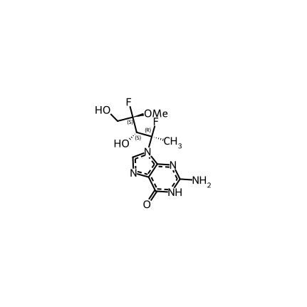 CO[C@](F)(CO)[C@@H](O)[C@@](C)(F)n1cnc2c(=O)[nH]c(N)nc21